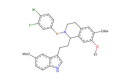 CCOc1cc2c(cc1OC)CCN(Sc1ccc(Br)c(F)c1)C2CCc1c[nH]c2ccc(OC)cc12